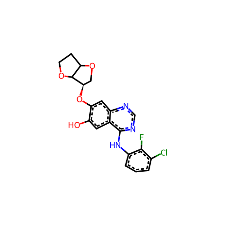 Oc1cc2c(Nc3cccc(Cl)c3F)ncnc2cc1O[C@@H]1COC2CCOC21